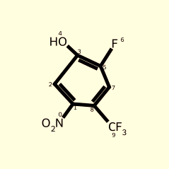 O=[N+]([O-])c1cc(O)c(F)cc1C(F)(F)F